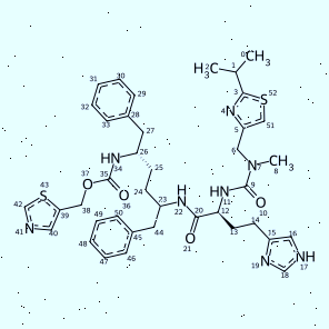 CC(C)c1nc(CN(C)C(=O)N[C@@H](CCc2c[nH]cn2)C(=O)NC(CC[C@@H](Cc2ccccc2)NC(=O)OCc2cncs2)Cc2ccccc2)cs1